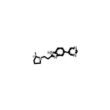 C[C@@H]1CCCN1CCc1nc2cc(-c3cncnc3)ccc2[nH]1